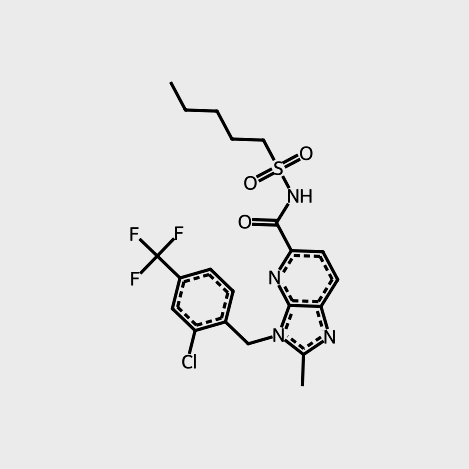 CCCCCS(=O)(=O)NC(=O)c1ccc2nc(C)n(Cc3ccc(C(F)(F)F)cc3Cl)c2n1